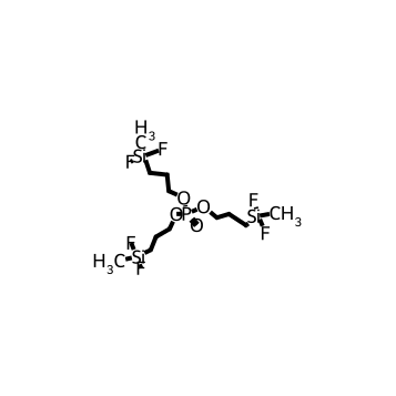 C[Si](F)(F)CCCOP(=O)(OCCC[Si](C)(F)F)OCCC[Si](C)(F)F